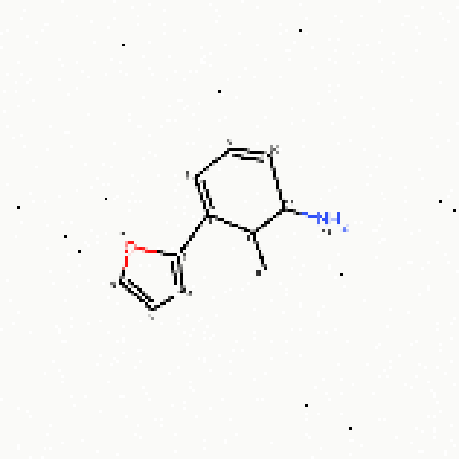 CC1C(c2ccco2)=CC=CC1N